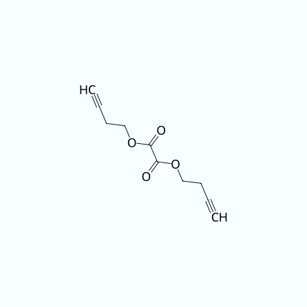 C#CCCOC(=O)C(=O)OCCC#C